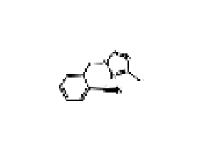 [CH2]c1ncn(Cc2ccccc2C#N)n1